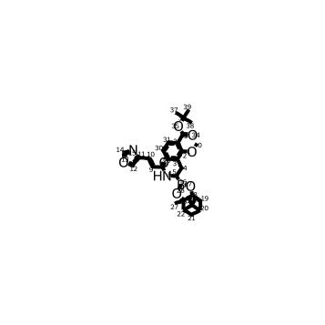 COc1c(CC(NC(=O)C=Cc2cocn2)B2OC3CC4CC(C4(C)C)C3(C)O2)cccc1C(=O)OC(C)(C)C